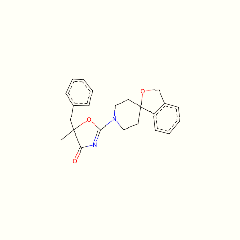 CC1(Cc2ccccc2)OC(N2CCC3(CC2)OCc2ccccc23)=NC1=O